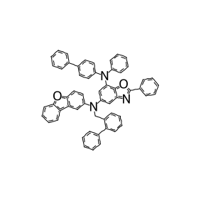 c1ccc(-c2ccc(N(c3ccccc3)c3cc(N(Cc4ccccc4-c4ccccc4)c4ccc5oc6ccccc6c5c4)cc4nc(-c5ccccc5)oc34)cc2)cc1